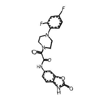 O=C(Nc1ccc2[nH]c(=O)oc2c1)C(=O)N1CCN(c2ccc(F)cc2F)CC1